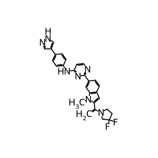 C=C(c1cc2ccc(-c3nccc(Nc4ccc(-c5cn[nH]c5)cc4)n3)cc2n1C)N1CCC(F)(F)C1